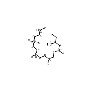 CCC(O)CN(C)CCN(C)CCN(C)CC[N+](C)(C)CCNC